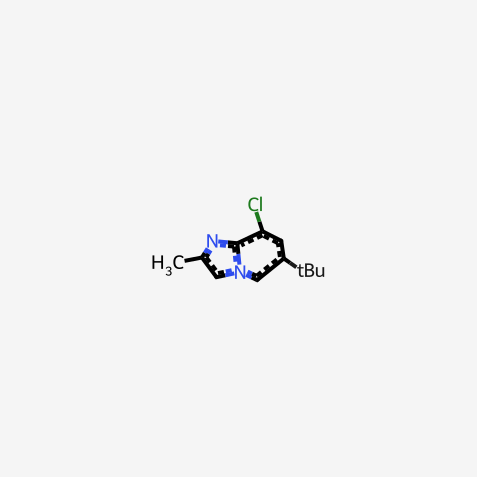 Cc1cn2cc(C(C)(C)C)cc(Cl)c2n1